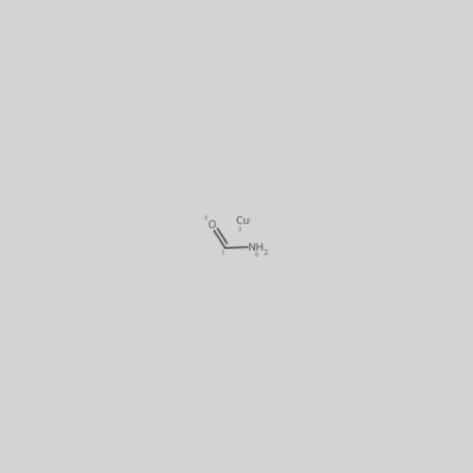 NC=O.[Cu]